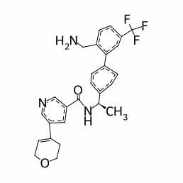 C[C@@H](NC(=O)c1cncc(C2=CCOCC2)c1)c1ccc(-c2cc(C(F)(F)F)ccc2CN)cc1